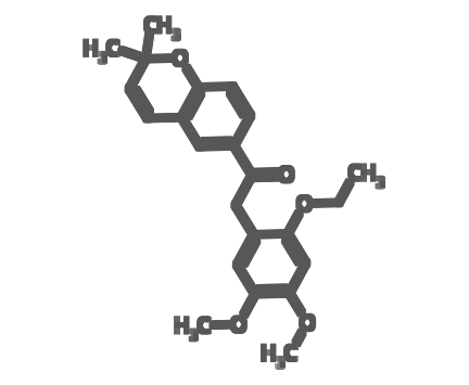 CCOc1cc(OC)c(OC)cc1CC(=O)c1ccc2c(c1)C=CC(C)(C)O2